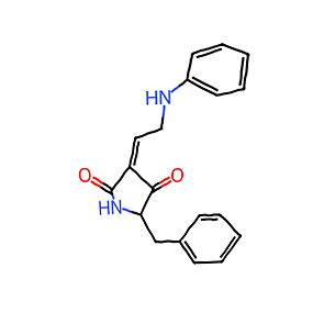 O=C1NC(Cc2ccccc2)C(=O)C1=CCNc1ccccc1